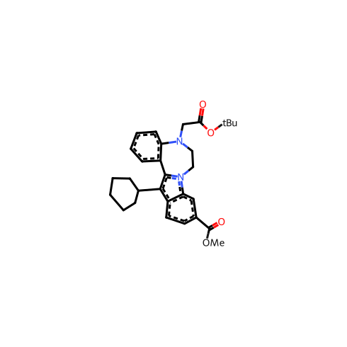 COC(=O)c1ccc2c(C3CCCCC3)c3n(c2c1)CCN(CC(=O)OC(C)(C)C)c1ccccc1-3